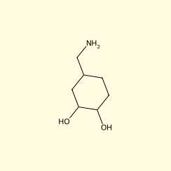 NCC1CCC(O)C(O)C1